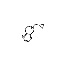 c1cnc2c(c1)CN(CC1CC1)CC2